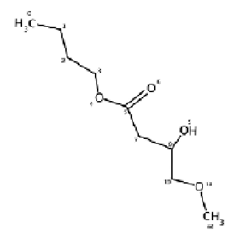 CCCCOC(=O)CC(O)COC